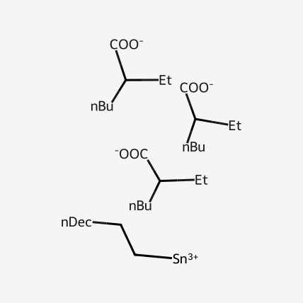 CCCCC(CC)C(=O)[O-].CCCCC(CC)C(=O)[O-].CCCCC(CC)C(=O)[O-].CCCCCCCCCCC[CH2][Sn+3]